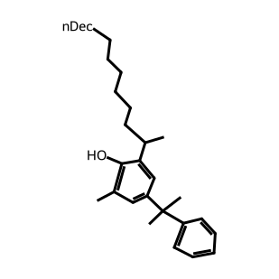 CCCCCCCCCCCCCCCCC(C)c1cc(C(C)(C)c2ccccc2)cc(C)c1O